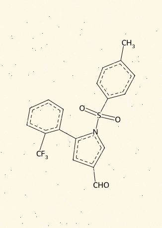 Cc1ccc(S(=O)(=O)n2cc(C=O)cc2-c2ccccc2C(F)(F)F)cc1